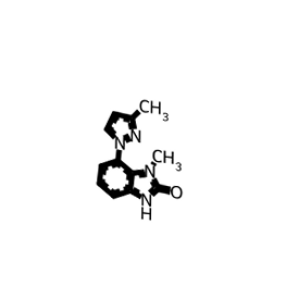 Cc1ccn(-c2cccc3[nH]c(=O)n(C)c23)n1